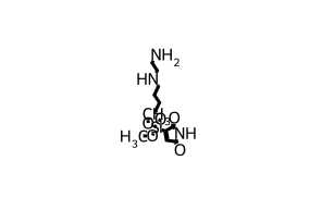 CO[Si](OC)(OCCCCNCCN)C1=CC(=O)NC1=O